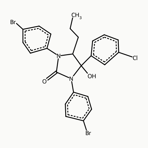 CCCC1N(c2ccc(Br)cc2)C(=O)N(c2ccc(Br)cc2)C1(O)c1cccc(Cl)c1